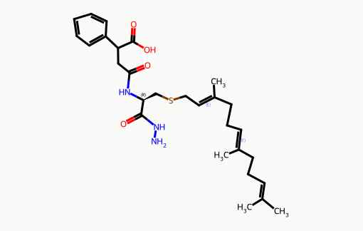 CC(C)=CCC/C(C)=C/CC/C(C)=C/CSC[C@H](NC(=O)CC(C(=O)O)c1ccccc1)C(=O)NN